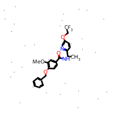 COc1cc(C(=O)NC(C)c2ccc(OCC(F)(F)F)cn2)ccc1OCc1ccccc1